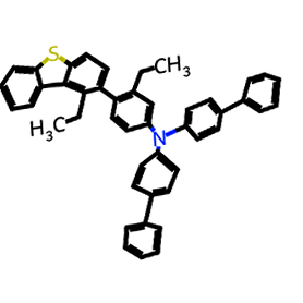 CCc1cc(N(c2ccc(-c3ccccc3)cc2)c2ccc(-c3ccccc3)cc2)ccc1-c1ccc2sc3ccccc3c2c1CC